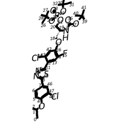 CC(C)Oc1ccc(-c2nnc(-c3cc(F)c(OC[C@H](COP(=O)(OC(C)(C)C)OC(C)(C)C)NC(=O)OC(C)(C)C)cc3Cl)s2)cc1Cl